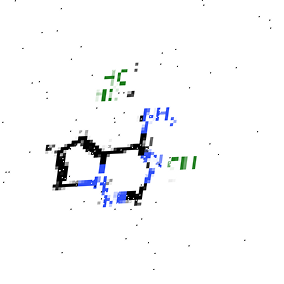 Cl.Cl.Cl.Nc1ncnn2cccc12